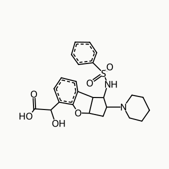 O=C(O)C(O)c1cccc2c1OC1CC(N3CCCCC3)C(NS(=O)(=O)c3ccccc3)C21